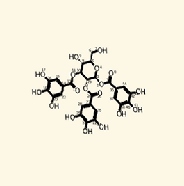 O=C(O[C@@H]1O[C@H](CO)[C@@H](O)[C@H](OC(=O)c2cc(O)c(O)c(O)c2)[C@H]1OC(=O)c1cc(O)c(O)c(O)c1)c1cc(O)c(O)c(O)c1